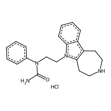 Cl.NC(=O)N(CCn1c2c(c3ccccc31)CCNCC2)c1ccccc1